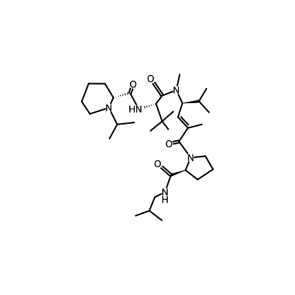 C/C(=C\[C@H](C(C)C)N(C)C(=O)[C@@H](NC(=O)[C@H]1CCCCN1C(C)C)C(C)(C)C)C(=O)N1CCC[C@H]1C(=O)NCC(C)C